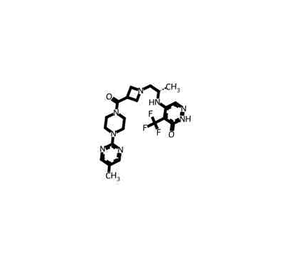 Cc1cnc(N2CCN(C(=O)C3CN(C[C@H](C)Nc4cn[nH]c(=O)c4C(F)(F)F)C3)CC2)nc1